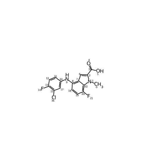 Cn1c(C(=O)O)cc2c(Nc3ccc(F)c(Cl)c3)ccc(F)c21